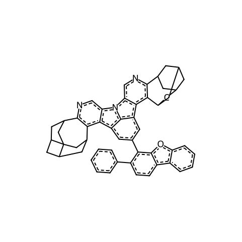 c1ccc(-c2ccc3c(oc4ccccc43)c2-c2cc3c4c5c(ncc4n4c6cnc7c(c6c(c2)c34)C2CC3CC4CC7CC43C2)C2CC3CC(C2)CC5C3)cc1